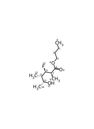 CCCCOC(=O)[C@@H](C)[C@H](F)[C@@H](C)[C@@H](C)O